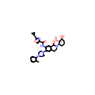 Cc1ccccc1N1CCN(c2cc3c(cc2NC(=O)c2coc(C4CC4)n2)C(=O)N(C2CCC[C@H](O)[C@@H]2O)CC3)CC1